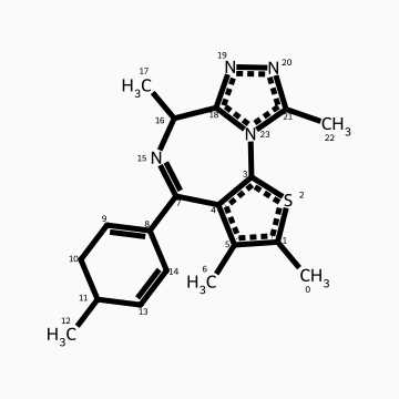 Cc1sc2c(c1C)C(C1=CCC(C)C=C1)=NC(C)c1nnc(C)n1-2